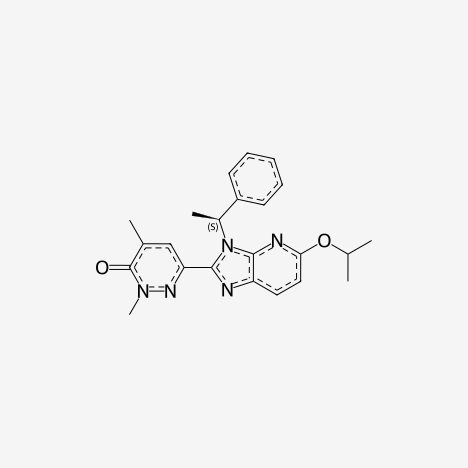 Cc1cc(-c2nc3ccc(OC(C)C)nc3n2[C@@H](C)c2ccccc2)nn(C)c1=O